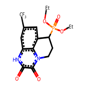 CCOP(=O)(OCC)C1CCn2c(=O)c(=O)[nH]c3cc(C(F)(F)F)cc1c32